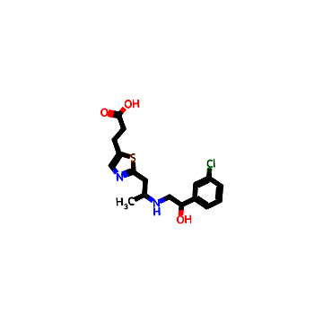 CC(Cc1ncc(CCC(=O)O)s1)NCC(O)c1cccc(Cl)c1